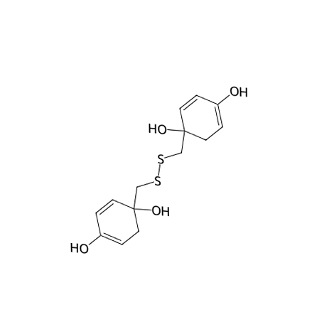 OC1=CCC(O)(CSSCC2(O)C=CC(O)=CC2)C=C1